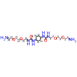 NCCOCCOCCNC(=O)Nc1ccc(NC(=O)NCCOCCOCCN)cc1